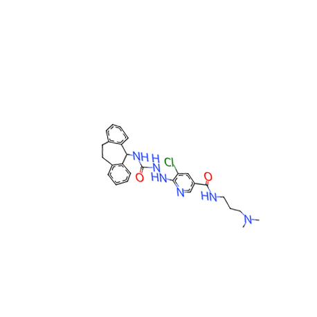 CN(C)CCCNC(=O)c1cnc(NNC(=O)NC2c3ccccc3CCc3ccccc32)c(Cl)c1